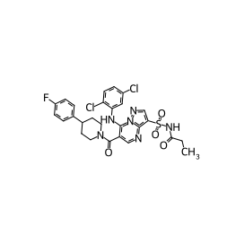 CCC(=O)NS(=O)(=O)c1cnn2c(Nc3cc(Cl)ccc3Cl)c(C(=O)N3CCC(c4ccc(F)cc4)CC3)cnc12